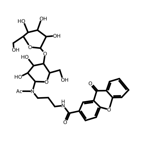 CC(=O)N(CCCNC(=O)c1ccc2oc3ccccc3c(=O)c2c1)C1OC(CO)C(OC2OC(CO)C(O)C(O)C2O)C(O)C1O